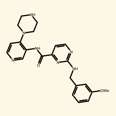 COc1cccc(CNc2nccc(C(=O)Nc3cnccc3N3CCNCC3)n2)c1